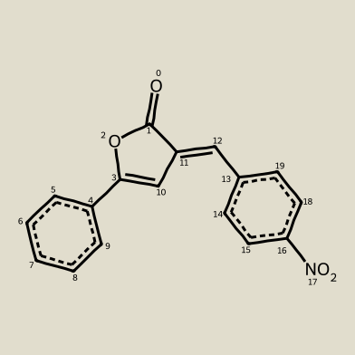 O=C1OC(c2ccccc2)=C/C1=C\c1ccc([N+](=O)[O-])cc1